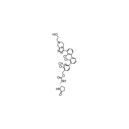 COc1nc(-c2cccc(-c3cccc(-c4nnc5n4CCN(CCO)C5)c3Cl)c2Cl)ccc1COC(=O)NC[C@@H]1CCC(=O)N1